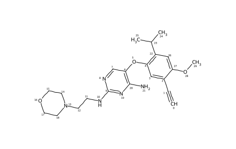 C#Cc1cc(Oc2cnc(NCCN3CCOCC3)nc2N)c(C(C)C)cc1OC